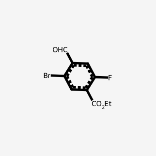 CCOC(=O)c1cc(Br)c(C=O)cc1F